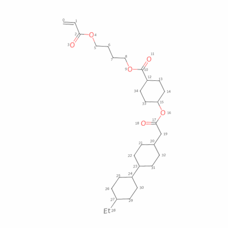 C=CC(=O)OCCCCOC(=O)C1CCC(OC(=O)CC2CCC(C3CCC(CC)CC3)CC2)CC1